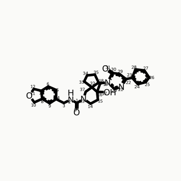 O=C(NCc1ccc2c(c1)COC2)N1CCC(O)(Cn2cnc(-c3ccccc3)cc2=O)C2(CCCC2)C1